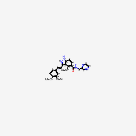 COc1ccc(/C=C/c2n[nH]c3ccc(C(=O)NCc4cnccn4)c(OC)c23)cc1OC